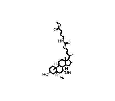 CC[C@H]1[C@@H](O)C2[C@@H]3CC[C@H]([C@H](C)CCOC(=O)NCCCC(=O)OC)C3(C)CC[C@@H]2C2(C)CC[C@@H](O)C[C@@H]12